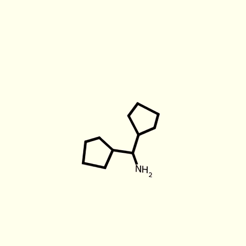 NC(C1CCCC1)C1CCCC1